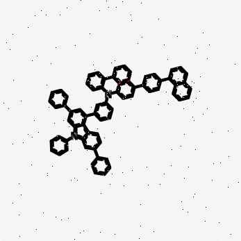 c1ccc(-c2ccc3c4c(-c5cccc(N(c6ccc(-c7ccc(-c8cccc9ccccc89)cc7)cc6)c6ccccc6-c6ccccc6)c5)cc(-c5ccccc5)cc4n(-c4ccccc4)c3c2)cc1